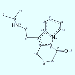 CC(C)NCCc1c2c(n3ccccc13)C(=O)CCC2